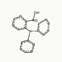 O=C(O)c1ncccc1N(c1ccccc1)c1ccccc1